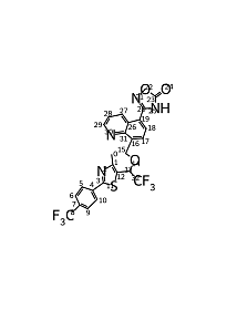 Cc1nc(-c2ccc(C(F)(F)F)cc2)sc1C(OCc1ccc(-c2noc(=O)[nH]2)c2cccnc12)C(F)(F)F